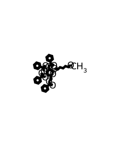 COCCCCCO[C@@H]1OC(COC(=O)c2ccccc2)[C@H](OC(=O)c2ccccc2)[C@H](OC(=O)c2ccccc2)C1OC(=O)c1ccccc1